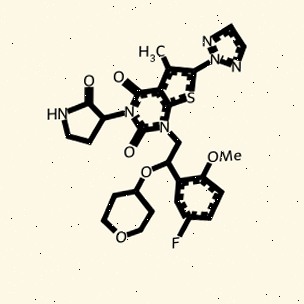 COc1ccc(F)cc1C(Cn1c(=O)n(C2CCNC2=O)c(=O)c2c(C)c(-n3nccn3)sc21)OC1CCOCC1